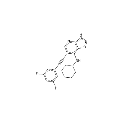 Fc1cc(F)cc(C#Cc2cnc3[nH]ccc3c2NC2CCCCC2)c1